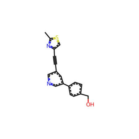 Cc1nc(C#Cc2cncc(-c3ccc(CO)cc3)c2)cs1